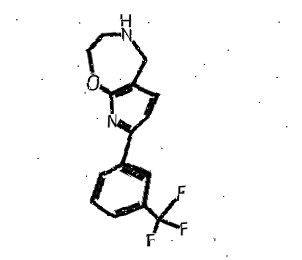 FC(F)(F)c1cccc(-c2ccc3c(n2)OCCNC3)c1